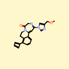 COCc1cn(C2=NCC(=O)N3CCc4c(C5=CC=C5)cccc4C3=C2)cn1